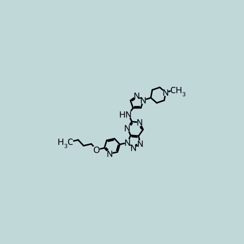 CCCCOc1ccc(-n2nnc3cnc(Nc4cnn(C5CCN(C)CC5)c4)nc32)cn1